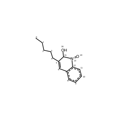 CCCCCC1=Cc2ccccc2[N+](=O)C1O